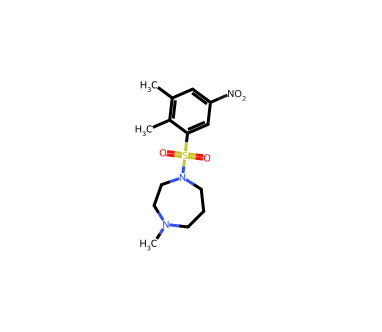 Cc1cc([N+](=O)[O-])cc(S(=O)(=O)N2CCCN(C)CC2)c1C